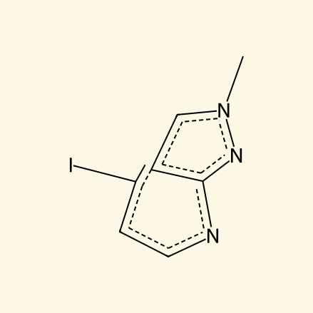 Cn1cc2c(I)ccnc2n1